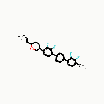 C/C=C/C1CCC(c2ccc(-c3ccc(-c4ccc(C)c(F)c4F)cc3)c(F)c2F)CO1